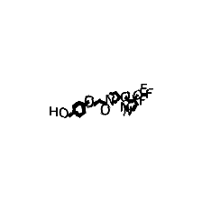 O=C(CCOc1ccc(CO)cc1)N1CCC(Oc2nnccc2OC(F)(F)F)C1